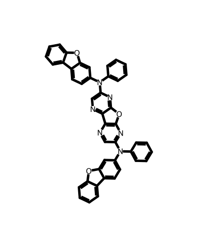 c1ccc(N(c2ccc3c(c2)oc2ccccc23)c2cnc3c(n2)oc2nc(N(c4ccccc4)c4ccc5c(c4)oc4ccccc45)cnc23)cc1